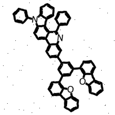 c1ccc(-c2nc3cc(-c4cc(-c5cccc6c5oc5ccccc56)cc(-c5cccc6c5oc5ccccc56)c4)ccc3c3ccc4c(c5ccccc5n4-c4ccccc4)c23)cc1